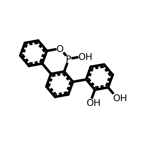 Oc1cccc(-c2cccc3c2P(O)Oc2ccccc2-3)c1O